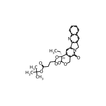 CC[C@@]1(OC(=O)CCC(=O)OC(C)(C)C)C(=O)OCc2c1cc1n(c2=O)Cc2cc3ccccc3nc2-1